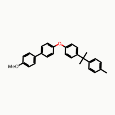 COc1ccc(-c2ccc(Oc3ccc(C(C)(C)c4ccc(C)cc4)cc3)cc2)cc1